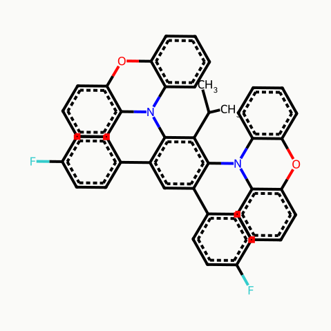 CC(C)c1c(N2c3ccccc3Oc3ccccc32)c(-c2ccc(F)cc2)cc(-c2ccc(F)cc2)c1N1c2ccccc2Oc2ccccc21